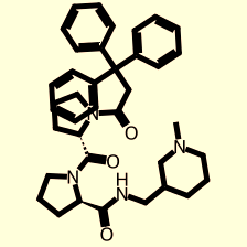 CN1CCCC(CNC(=O)[C@H]2CCCN2C(=O)[C@@H]2CCCN2C(=O)CC(c2ccccc2)(c2ccccc2)c2ccccc2)C1